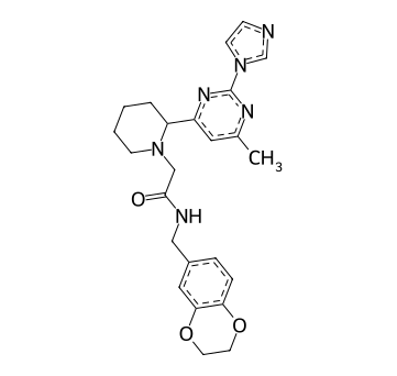 Cc1cc(C2CCCCN2CC(=O)NCc2ccc3c(c2)OCCO3)nc(-n2ccnc2)n1